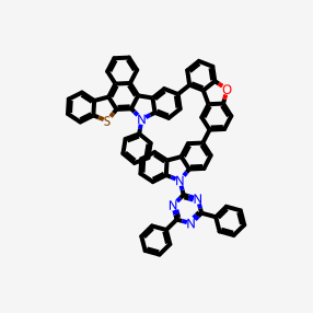 c1ccc(-c2nc(-c3ccccc3)nc(-n3c4ccccc4c4cc(-c5ccc6oc7cccc(-c8ccc9c(c8)c8c%10ccccc%10c%10c%11ccccc%11sc%10c8n9-c8ccccc8)c7c6c5)ccc43)n2)cc1